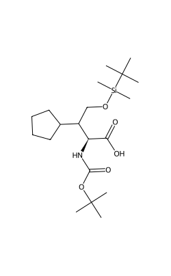 CC(C)(C)OC(=O)N[C@H](C(=O)O)C(CO[Si](C)(C)C(C)(C)C)C1CCCC1